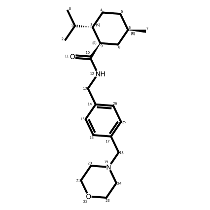 CC(C)[C@@H]1CC[C@@H](C)C[C@H]1C(=O)NCc1ccc(CN2CCOCC2)cc1